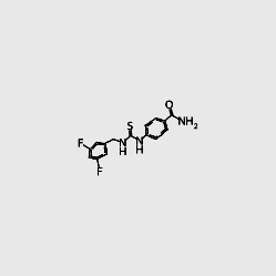 NC(=O)c1ccc(NC(=S)NCc2cc(F)cc(F)c2)cc1